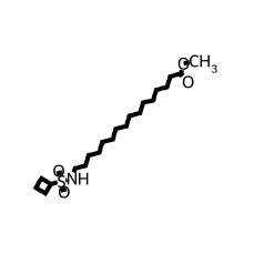 COC(=O)CCCCCCCCCCCCCCCNS(=O)(=O)C1CCC1